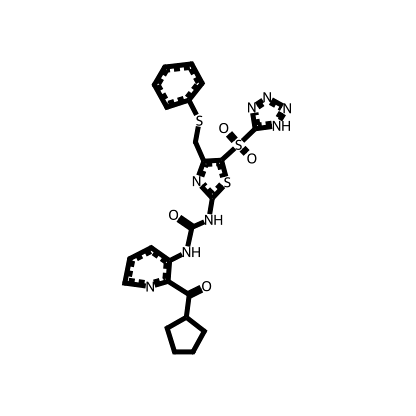 O=C(Nc1nc(CSc2ccccc2)c(S(=O)(=O)c2nnn[nH]2)s1)Nc1cccnc1C(=O)C1CCCC1